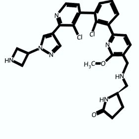 COc1nc(-c2cccc(-c3ccnc(-c4cnn(C5CNC5)c4)c3Cl)c2Cl)ccc1CNC[C@H]1CCC(=O)N1